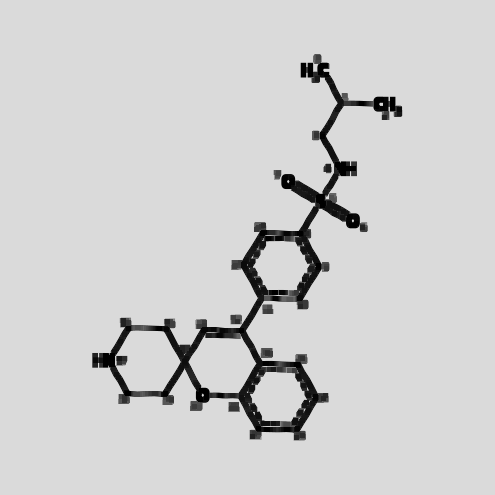 CC(C)CNS(=O)(=O)c1ccc(C2=CC3(CCNCC3)Oc3ccccc32)cc1